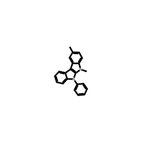 Cc1ccc2c(c1)c1c3ccccc3n(-c3ccccc3)c1n2C